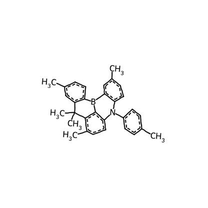 Cc1ccc(N2c3ccc(C)cc3B3c4ccc(C)cc4C(C)(C)c4c(C)ccc2c43)cc1